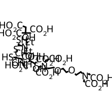 CC(C)(S)[C@@H](N)C(=O)O.CCN(CC)C(=S)S.O=C(O)C(O)C(O)C(=O)O.O=C(O)CC(O)(CC(=O)O)C(=O)O.O=C(O)CN(CCOCCOCCN(CC(=O)O)CC(=O)O)CC(=O)O